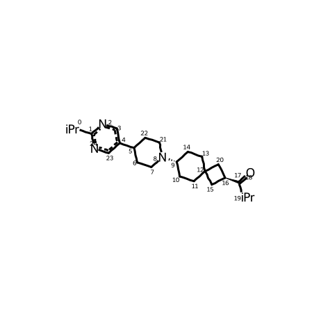 CC(C)c1ncc(C2CCN([C@H]3CCC4(CC3)C[C@H](C(=O)C(C)C)C4)CC2)cn1